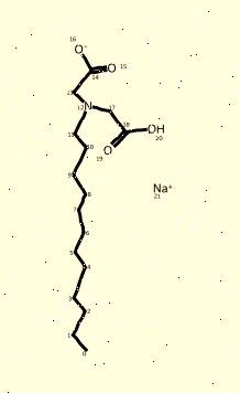 CCCCCCCCCCCCN(CC(=O)[O-])CC(=O)O.[Na+]